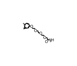 CNC(=O)COCCOCCOCCOC1=CC2CC2[C@@H](C)C=C1